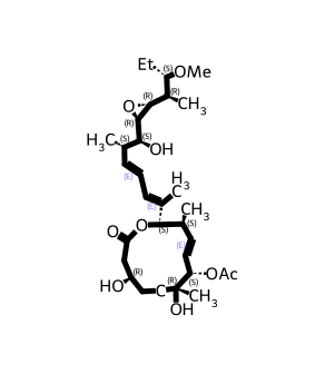 CC[C@H](OC)[C@@H](C)[C@H]1O[C@@H]1[C@@H](O)[C@@H](C)/C=C/C=C(\C)[C@H]1OC(=O)C[C@H](O)CC[C@@](C)(O)[C@@H](OC(C)=O)/C=C/[C@@H]1C